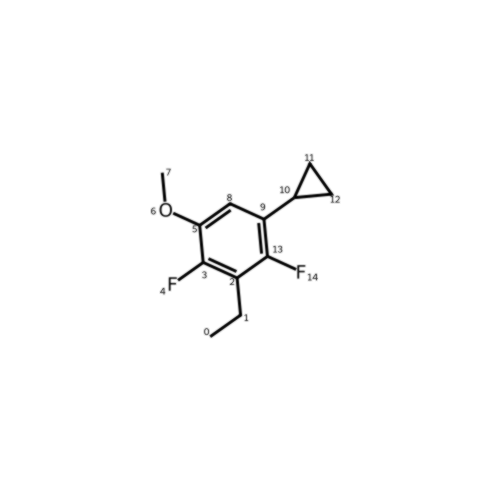 CCc1c(F)c(OC)cc(C2CC2)c1F